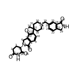 O=C1CC[C@H](N2Cc3c(ccc4c3OCC43CCN(Cc4ccc5c(c4)C(=O)NC5)CC3)C2=O)C(=O)N1